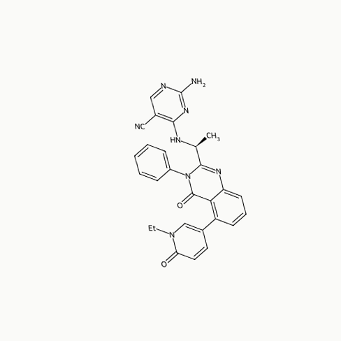 CCn1cc(-c2cccc3nc([C@H](C)Nc4nc(N)ncc4C#N)n(-c4ccccc4)c(=O)c23)ccc1=O